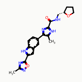 Cc1noc(-c2cc3cc(-c4nc(C(=O)NC[C@@H]5CCCO5)[nH]c4C)ccc3[nH]2)n1